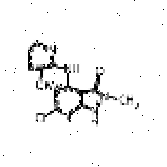 COc1cccnc1Nc1cc(Cl)nc2[nH]n(C)c(=O)c12